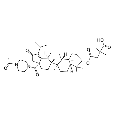 CC(=O)N1CCN(C(=O)[C@@]23CC[C@]4(C)[C@H](CC[C@@H]5[C@@]6(C)CC[C@H](OC(=O)CC(C)(C)C(=O)O)C(C)(C)[C@@H]6CC[C@]54C)C2=C(C(C)C)C(=O)C3)CC1